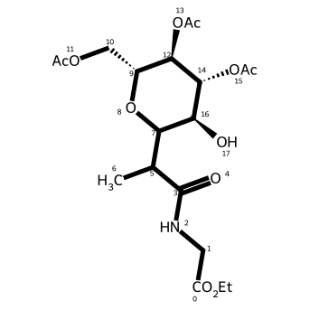 CCOC(=O)CNC(=O)C(C)C1O[C@H](COC(C)=O)[C@@H](OC(C)=O)[C@H](OC(C)=O)[C@H]1O